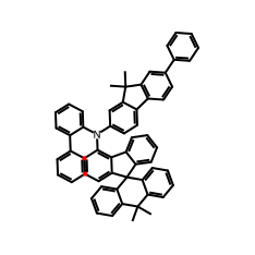 CC1(C)c2cc(-c3ccccc3)ccc2-c2ccc(N(c3ccccc3-c3ccccc3)c3cccc4c3-c3ccccc3C43c4ccccc4C(C)(C)c4ccccc43)cc21